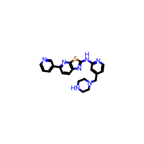 c1cncc(-c2ccc3nc(Nc4cc(CN5CCNCC5)ccn4)sc3n2)c1